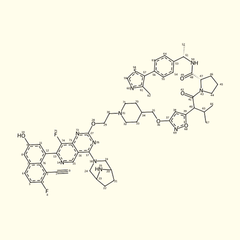 C#Cc1c(F)ccc2cc(O)cc(-c3ncc4c(N5CC6CCC(C5)N6)nc(OCCN5CCC(COc6cc(C(C(=O)N7CCC[C@H]7C(=O)N[C@@H](C)c7ccc(-c8scnc8C)cc7)C(C)C)on6)CC5)nc4c3F)c12